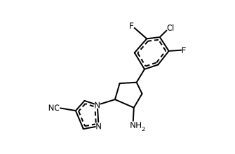 N#Cc1cnn(C2CC(c3cc(F)c(Cl)c(F)c3)CC2N)c1